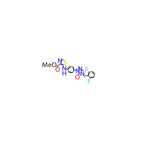 COC(=O)c1ncsc1Nc1ccc(-n2ncn(Cc3c(F)cccc3F)c2=O)cc1